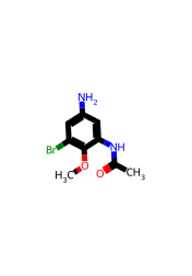 COc1c(Br)cc(N)cc1NC(C)=O